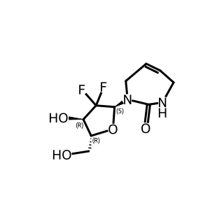 O=C1NCC=CCN1[C@H]1O[C@H](CO)[C@@H](O)C1(F)F